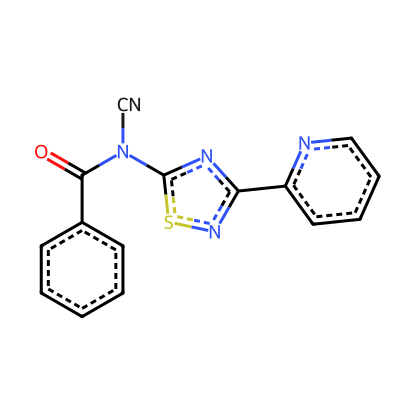 N#CN(C(=O)c1ccccc1)c1nc(-c2ccccn2)ns1